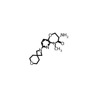 CN1C(=O)[C@@H](N)COc2ccc(N3CC4(CCOCC4)C3)nc21